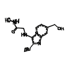 CC(C)(C)c1nc2cc(CO)ccn2c1NCC(=O)NO